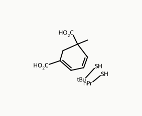 CC(C)(C)S.CC1(C(=O)O)C=CC=C(C(=O)O)C1.CCCS